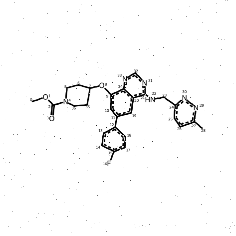 COC(=O)N1CCC(Oc2cc(-c3ccc(F)cc3)cc3c(NCc4ccc(C)nn4)ncnc23)CC1